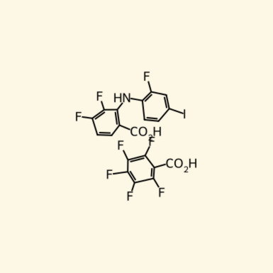 O=C(O)c1c(F)c(F)c(F)c(F)c1F.O=C(O)c1ccc(F)c(F)c1Nc1ccc(I)cc1F